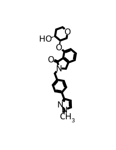 Cn1ccc(-c2ccc(CN3Cc4cccc(O[C@@H]5COCC[C@H]5O)c4C3=O)cc2)n1